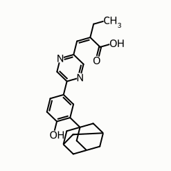 CCC(=Cc1cnc(-c2ccc(O)c(C34CC5CC(CC(C5)C3)C4)c2)cn1)C(=O)O